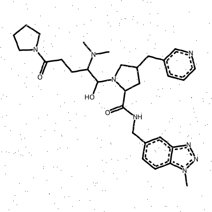 CN(C)C(CCC(=O)N1CCCC1)C(O)N1CC(Cc2cccnc2)CC1C(=O)NCc1ccc2c(c1)nnn2C